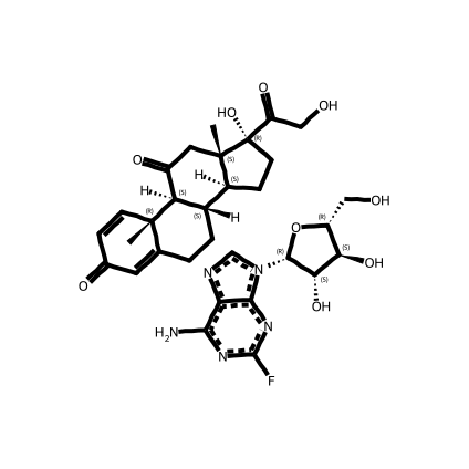 C[C@]12C=CC(=O)C=C1CC[C@@H]1[C@@H]2C(=O)C[C@@]2(C)[C@H]1CC[C@]2(O)C(=O)CO.Nc1nc(F)nc2c1ncn2[C@@H]1O[C@H](CO)[C@@H](O)[C@@H]1O